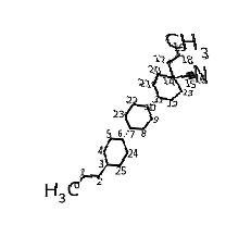 CCC[C@H]1CC[C@H](C2CCC([C@H]3CC[C@@](C#N)(CCC)CC3)CC2)CC1